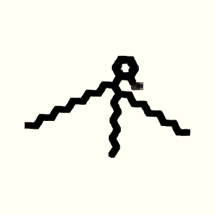 CCCCCCCCCCCC(c1ccccc1O)C(CCCCCCC)CCCCCCCCC